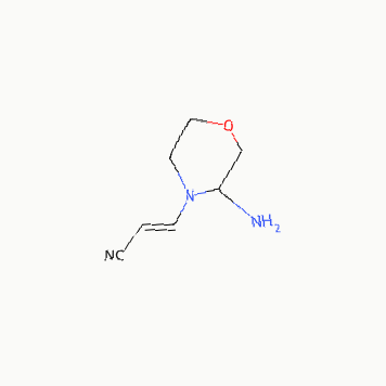 N#CC=CN1CCOCC1N